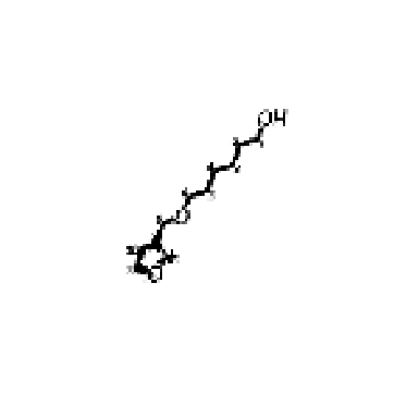 OCCCCCCOCc1ccon1